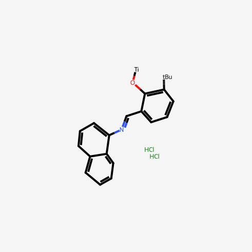 CC(C)(C)c1cccc(C=Nc2cccc3ccccc23)c1[O][Ti].Cl.Cl